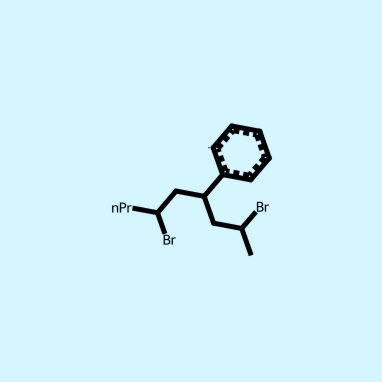 CCCC(Br)CC(CC(C)Br)c1[c]cccc1